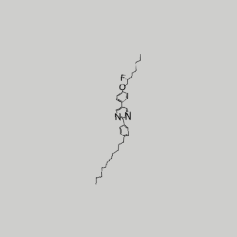 CCCCCCCCCCCc1ccc(-c2ncc(-c3ccc(OCC(F)CCCCCC)cc3)cn2)cc1